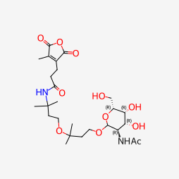 CC(=O)N[C@H]1C(OCCC(C)(C)OCCC(C)(C)NC(=O)CCC2=C(C)C(=O)OC2=O)O[C@H](CO)[C@H](O)[C@@H]1O